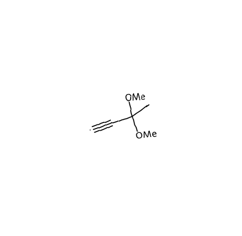 [C]#CC(C)(OC)OC